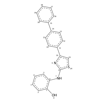 Oc1ccccc1Nc1nc(-c2ccc(-c3ccccc3)cc2)cs1